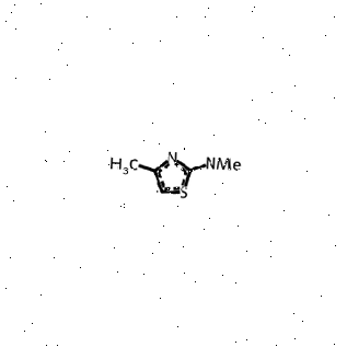 CNc1nc(C)[c]s1